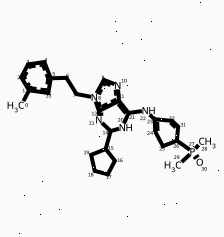 Cc1cccc(CCn2cnc3c2=NC(C2CCCC2)NC=3NC2=CCC(P(C)(C)=O)C=C2)c1